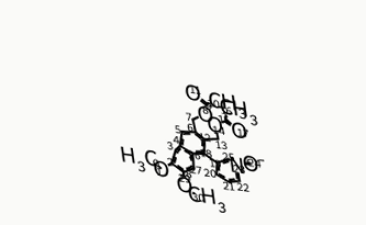 COc1cc2cc(COC(C)=O)c(COC(C)=O)c(-c3ccc[n+]([O-])c3)c2cc1OC